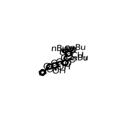 CCCCOCC1OCCC(OC2OC3COC(c4ccccc4)OC3C(O)C2O)C1OC1OC(C)C(OCCCC)C(OCCCC)C1OCCCC